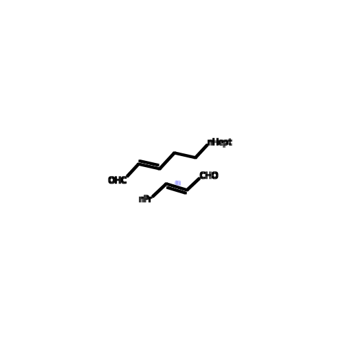 CCC/C=C/C=O.CCCCCCCCCC=CC=O